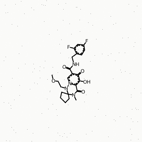 COCCN1n2cc(C(=O)NCc3ccc(F)cc3F)c(=O)c(O)c2C(=O)N(C)C12CCCC2